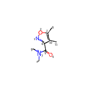 Cc1onc(C(=O)N(C)C)c1C